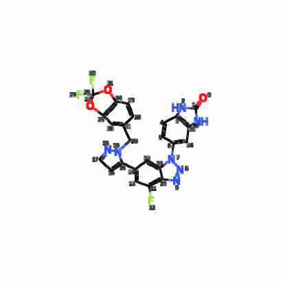 O=c1[nH]c2ccc(-n3nnc4c(F)cc(-c5ccnn5Cc5ccc6c(c5)OC(F)(F)O6)cc43)cc2[nH]1